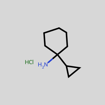 Cl.NC1(C2CC2)CCCCC1